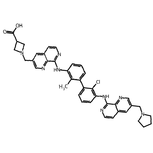 Cc1c(Nc2nccc3cc(CN4CC(C(=O)O)C4)cnc23)cccc1-c1cccc(Nc2nccc3cc(CN4CCCC4)cnc23)c1Cl